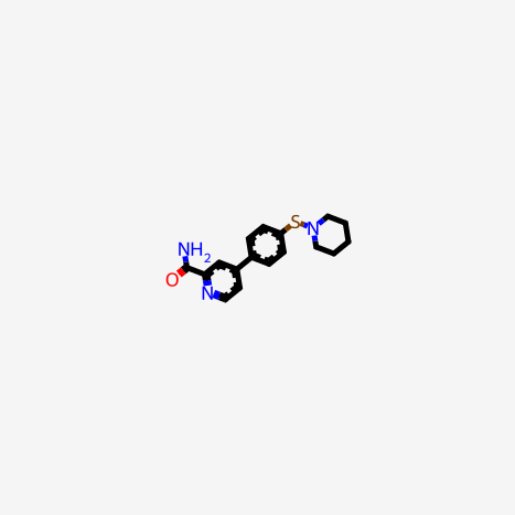 NC(=O)c1cc(-c2ccc(SN3CCCCC3)cc2)ccn1